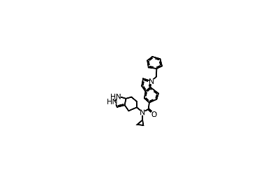 O=C(c1ccc2c(ccn2Cc2ccccc2)c1)N(C1CC1)C1CCC2NNC=C2C1